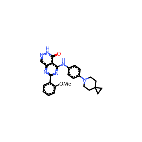 COc1ccccc1-c1nc(Nc2ccc(N3CCC4(CC3)CC4)cc2)c2c(=O)[nH]ncc2n1